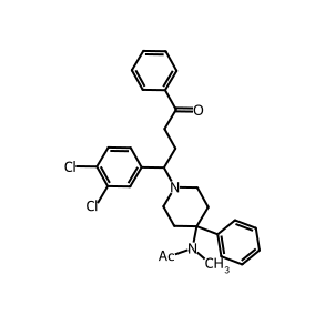 CC(=O)N(C)C1(c2ccccc2)CCN(C(CCC(=O)c2ccccc2)c2ccc(Cl)c(Cl)c2)CC1